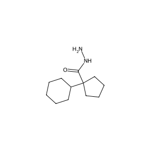 NNC(=O)C1(C2CCCCC2)CCCC1